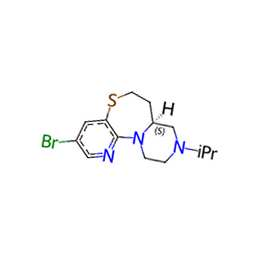 CC(C)N1CCN2c3ncc(Br)cc3SCC[C@H]2C1